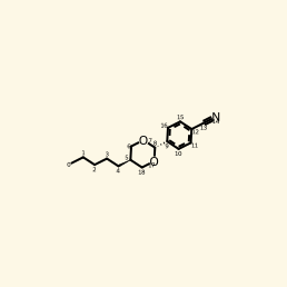 CCCCC[C@H]1CO[C@H](c2ccc(C#N)cc2)OC1